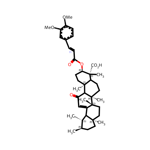 COc1ccc(/C=C/C(=O)O[C@@H]2CC[C@@]3(C)C(CC[C@]4(C)C3C(=O)C=C3C5[C@@H](C)[C@H](C)CC[C@]5(C)CC[C@]34C)[C@@]2(C)C(=O)O)cc1OC